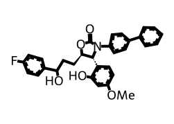 COc1ccc([C@@H]2[C@@H](CCC(O)c3ccc(F)cc3)OC(=O)N2c2ccc(-c3ccccc3)cc2)c(O)c1